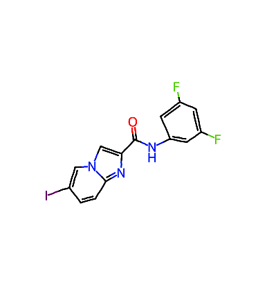 O=C(Nc1cc(F)cc(F)c1)c1cn2cc(I)ccc2n1